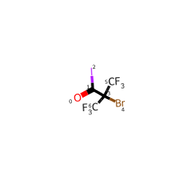 O=C(I)C(Br)(C(F)(F)F)C(F)(F)F